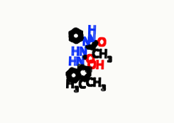 Cc1c(NC(=O)N[C@H]2c3ccccc3C(C)(C)C[C@@H]2O)n(-c2ccccc2)[nH]c1=O